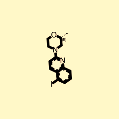 C[C@@H]1CN(c2ccc3c(I)cccc3n2)CCO1